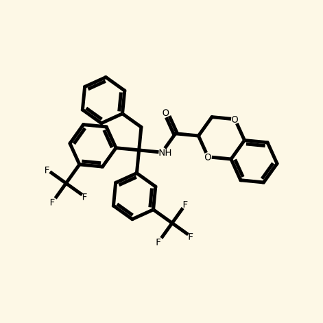 O=C(NC(Cc1ccccc1)(c1cccc(C(F)(F)F)c1)c1cccc(C(F)(F)F)c1)C1COc2ccccc2O1